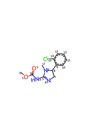 COC(=O)NC1=NCC(c2ccccc2Cl)N1C